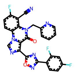 N#Cc1c(F)ccc2c1n(Cc1ccccn1)c(=O)c1c(-c3nc(-c4ccc(F)cc4F)no3)ncn12